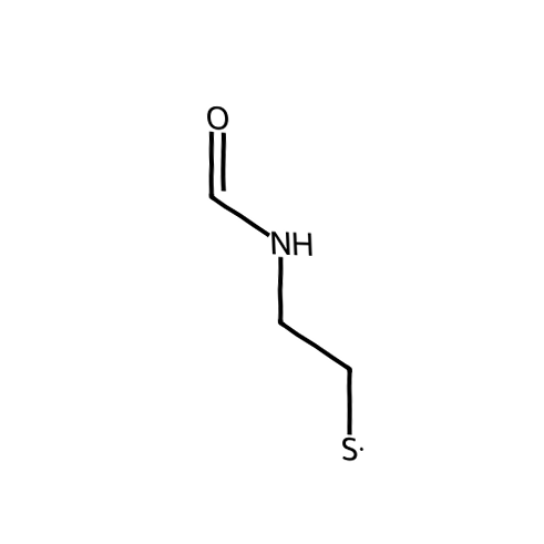 O=CNCC[S]